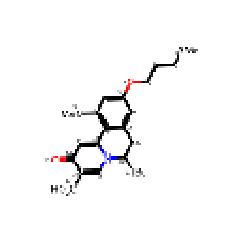 COc1cc(OCCCSC)cc2c1-c1cc(=O)c(C(=O)O)cn1C(C(C)(C)C)C2